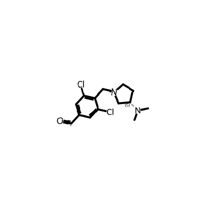 CN(C)[C@H]1CCN(Cc2c(Cl)cc([C]=O)cc2Cl)C1